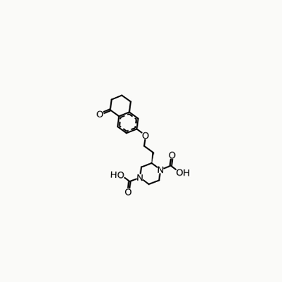 O=C1CCCc2cc(OCC[C@@H]3CN(C(=O)O)CCN3C(=O)O)ccc21